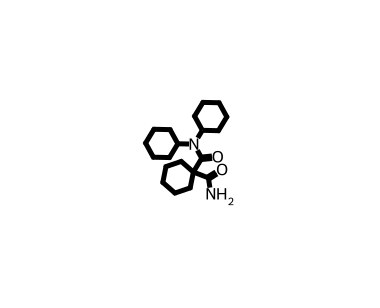 NC(=O)C1(C(=O)N(C2CCCCC2)C2CCCCC2)CCCCC1